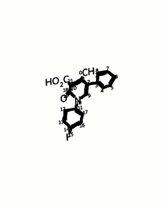 Cc1c(-c2ccccc2)cn(-c2ccc(F)cc2)c(=O)c1C(=O)O